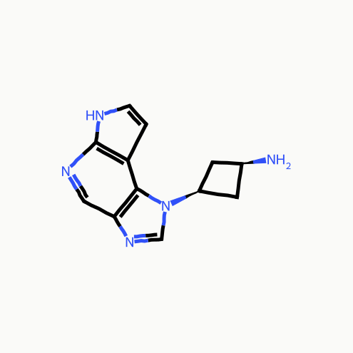 N[C@H]1C[C@@H](n2cnc3cnc4[nH]ccc4c32)C1